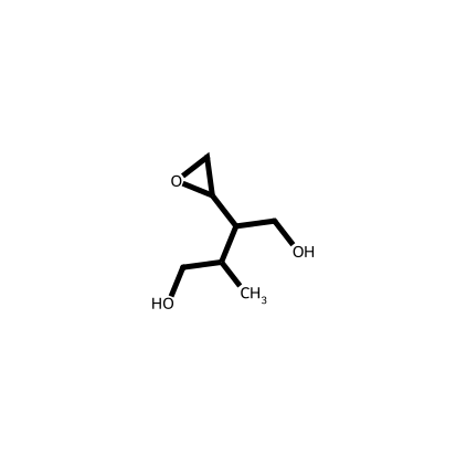 CC(CO)C(CO)C1CO1